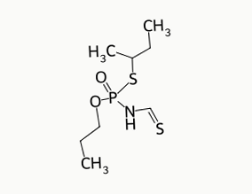 CCCOP(=O)(NC=S)SC(C)CC